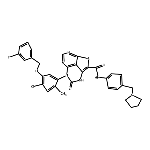 Cc1cc(Cl)c(OCc2cccc(F)c2)cc1N1C(=O)Nc2c(C(=O)Nc3ccc(CN4CCCC4)cc3)sc3ncnc1c23